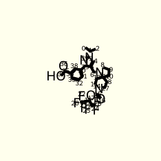 CC(C)n1cc(CN2CCCC23CCN(C(=O)OC(C(F)(F)F)C(F)(F)F)CC3)c(-c2cccc(C(=O)O)c2)n1